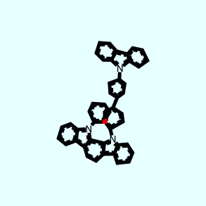 c1ccc(-n2c3ccccc3c3ccc4c5ccccc5n(-c5ccc(-c6ccc(-n7c8ccccc8c8ccccc87)cc6)cc5)c4c32)cc1